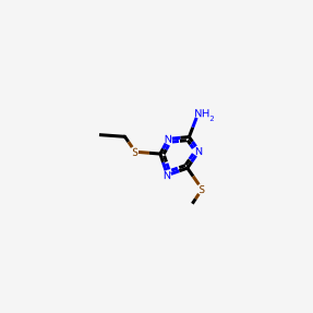 CCSc1nc(N)nc(SC)n1